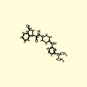 CN(C)c1ccnc(NC2CCC(NC(=O)C3CC(=O)c4ccccc43)CC2)n1